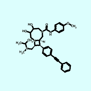 COc1ccc(NC(=O)N2CC(O)C(O)CN3[C@H](CN(C)C(C)C)[C@H](c4ccc(C#Cc5ccccc5)cc4)[C@@H]3C2)cc1